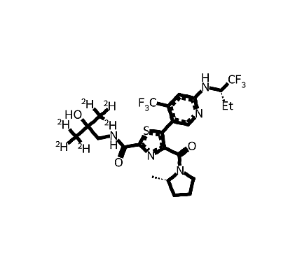 [2H]C([2H])([2H])C(O)(CNC(=O)c1nc(C(=O)N2CCC[C@@H]2C)c(-c2cnc(N[C@@H](CC)C(F)(F)F)cc2C(F)(F)F)s1)C([2H])([2H])[2H]